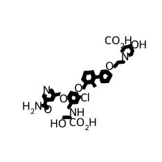 Cc1c(COc2cc(OCc3cncc(C(N)=O)c3)c(CN[C@H](CO)C(=O)O)cc2Cl)cccc1-c1cccc(OCCCN2CCC(O)(C(=O)O)CC2)c1